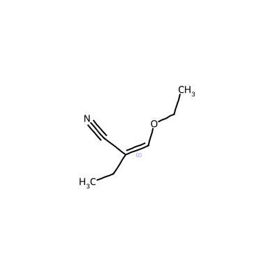 CCO/C=C(\C#N)CC